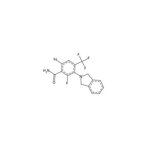 [2H]c1cc(C(F)(F)F)c(N2Cc3ccccc3C2)c(F)c1C(N)=O